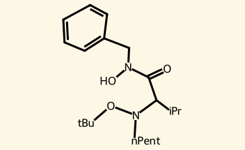 CCCCCN(OC(C)(C)C)C(C(=O)N(O)Cc1ccccc1)C(C)C